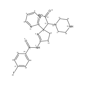 O=C(NC1=NC(c2ncccn2)(C(C(=O)O)N2CCNCC2)CS1)c1ccc(F)cc1